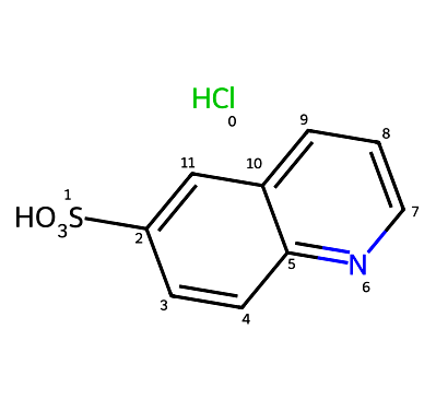 Cl.O=S(=O)(O)c1ccc2ncccc2c1